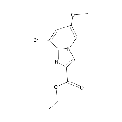 CCOC(=O)c1cn2cc(OC)cc(Br)c2n1